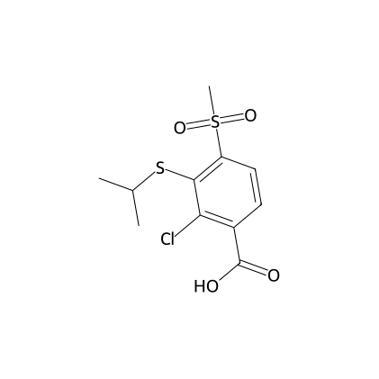 CC(C)Sc1c(S(C)(=O)=O)ccc(C(=O)O)c1Cl